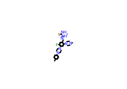 Cc1ccc(N2CCN(c3cc(N4CCN(C)CC4)c(/C=N/NC(N)=S)cc3F)CC2)cc1